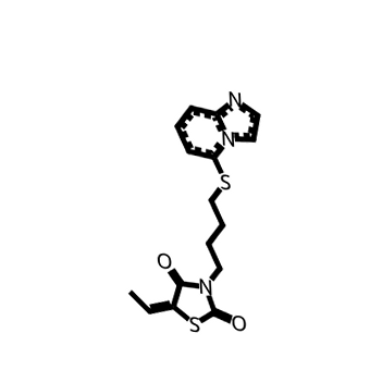 CC=C1SC(=O)N(CCCCSc2cccc3nccn23)C1=O